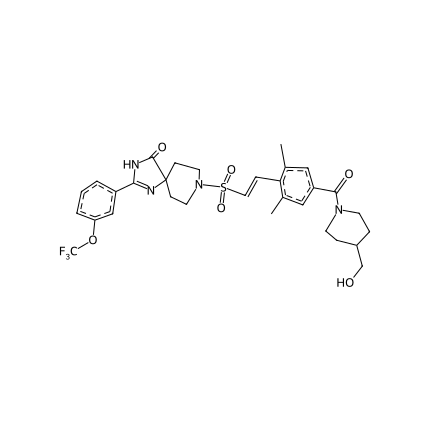 Cc1cc(C(=O)N2CCC(CO)CC2)cc(C)c1C=CS(=O)(=O)N1CCC2(CC1)N=C(c1cccc(OC(F)(F)F)c1)NC2=O